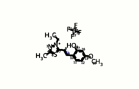 CC[n+]1nc(C)sc1/C=C/c1ccc(OC)cc1O.F[B-](F)(F)F